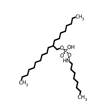 CCCCCCCCCCC(CCCCCCCC)COP(=O)(O)ONCCCCCCCC